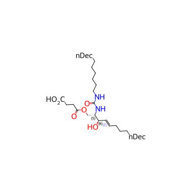 CCCCCCCCCCCCC/C=C/[C@@H](O)[C@H](COC(=O)CCC(=O)O)NC(=O)NCCCCCCCCCCCCCCCC